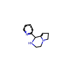 C1=C2C(c3ccccn3)NCCN2CC1